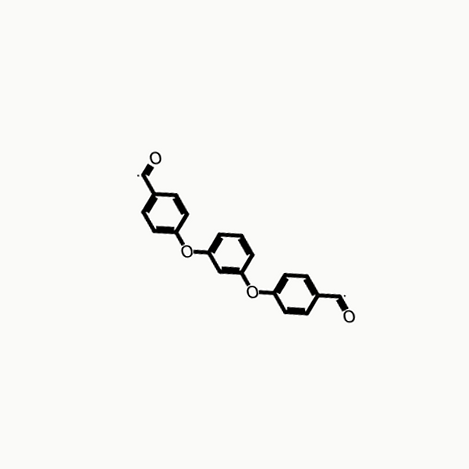 O=[C]c1ccc(Oc2cccc(Oc3ccc([C]=O)cc3)c2)cc1